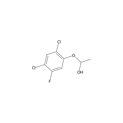 CC(O)Oc1cc(F)c(Cl)cc1Cl